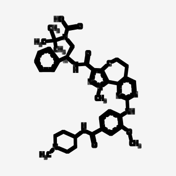 COc1cc(C(=O)NC2CCN(C)CC2)ccc1Nc1ncc2c(n1)-c1c(c(C(=O)N[C@H](CN(C(=O)O)C(C)(C)C)c3ccccc3)nn1C)CCC2